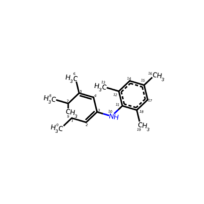 CC/C=C(\C=C(\C)C(C)C)Nc1c(C)cc(C)cc1C